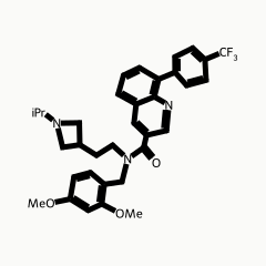 COc1ccc(CN(CCC2CN(C(C)C)C2)C(=O)c2cnc3c(-c4ccc(C(F)(F)F)cc4)cccc3c2)c(OC)c1